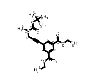 CCOC(=O)c1cc(C#CCN(C)C(=O)OC(C)(C)C)cc(C(=O)OCC)c1